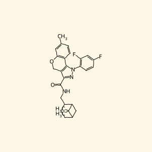 Cc1ccc2c(c1)OCc1c(C(=O)NCC3CCC4CC3C4(C)C)nn(-c3ccc(F)cc3F)c1-2